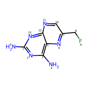 Nc1nc(N)c2nc(CF)cnc2n1